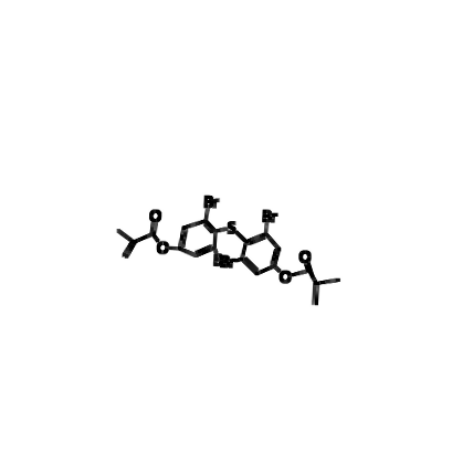 C=C(C)C(=O)Oc1cc(Br)c(Sc2c(Br)cc(OC(=O)C(=C)C)cc2Br)c(Br)c1